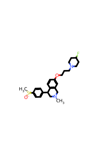 CN1Cc2cc(OCCCN3CCC(F)CC3)ccc2C(c2ccc([S+](C)[O-])cc2)C1